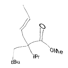 CC=CC(CC(C)(C)C)(C(=O)OC)C(C)C